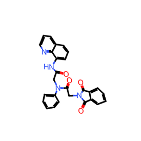 O=C(CN(C(=O)CN1C(=O)c2ccccc2C1=O)c1ccccc1)Nc1cccc2cccnc12